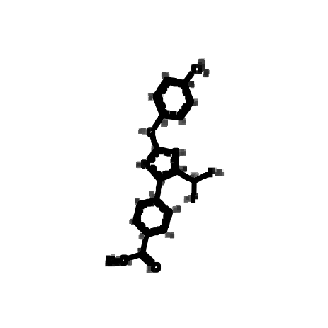 COC(=O)c1ccc(-c2nc(Oc3ccc(C(F)(F)F)cc3)sc2C(F)F)cc1